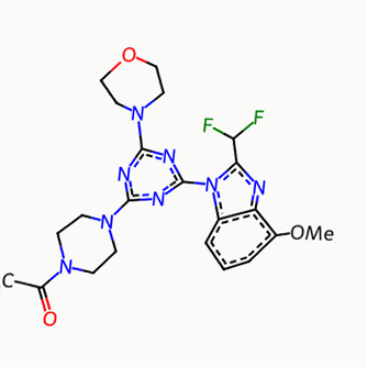 COc1cccc2c1nc(C(F)F)n2-c1nc(N2CCOCC2)nc(N2CCN(C(=O)C(Cl)(Cl)Cl)CC2)n1